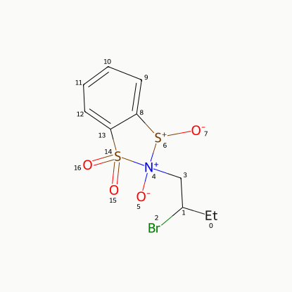 CCC(Br)C[N+]1([O-])[S+]([O-])c2ccccc2S1(=O)=O